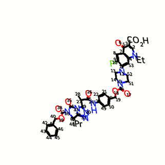 CCn1cc(C(=O)O)c(=O)c2cc(F)c(N3CCN(C(=O)OCc4ccc(NC(=O)C(C)c5nnc6n5C(=O)N(C(=O)OCc5ccccc5)[C@H]6C(C)C)cc4)CC3)cc21